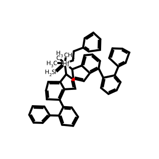 [CH3][Hf]([CH3])([CH3])(=[SiH2])([CH2]Cc1ccccc1)([CH]1C=Cc2c(-c3ccccc3-c3ccccc3)cccc21)[CH]1C=Cc2c(-c3ccccc3-c3ccccc3)cccc21